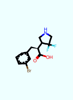 O=C(O)[C@@H](Cc1cccc(Br)c1)C1CNCC1(F)F